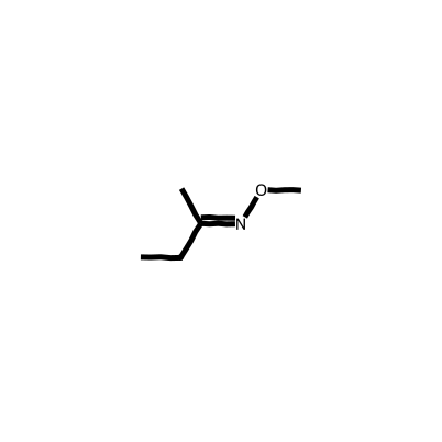 CC/C(C)=N/OC